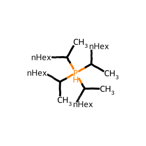 CCCCCCC(C)[PH](C(C)CCCCCC)(C(C)CCCCCC)C(C)CCCCCC